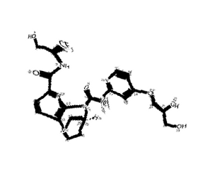 O=C(NC(CO)C(F)(F)F)c1ccc2c(n1)N(C(=O)Nc1cc(OCC(O)CO)ccn1)[C@H]1CCN2C1